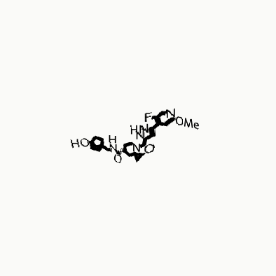 COc1cc(-c2cc(C(=O)N3CC[C@@H](C(=O)NCC45CCC(O)(CC4)C5)CC34CC4)n[nH]2)c(F)cn1